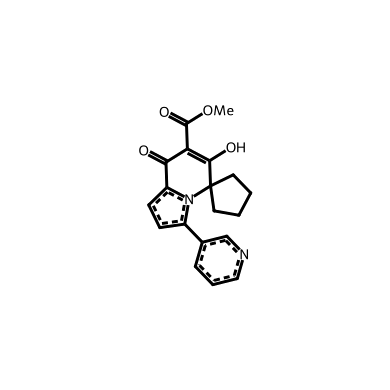 COC(=O)C1=C(O)C2(CCCC2)n2c(ccc2-c2cccnc2)C1=O